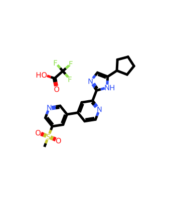 CS(=O)(=O)c1cncc(-c2ccnc(-c3ncc(C4CCCC4)[nH]3)c2)c1.O=C(O)C(F)(F)F